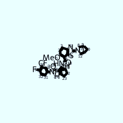 COc1ccc2nc(N3CC4CC(C3)O4)sc2c1C(=O)N[C@@H]1[C@H]2CC[C@H](C2)[C@@H]1C(=O)Nc1ccc(F)c(C(F)(F)F)c1